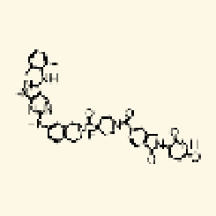 Cc1cccc(C)c1Nc1nn(C)c2nc(Nc3ccc4c(c3)CN(C(=O)C3(F)CCN(C(=O)c5ccc6c(c5)CN(C5CCC(=O)NC5=O)C6=O)CC3)CC4)ncc12